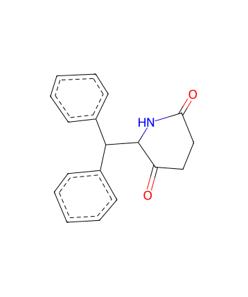 O=C1CCC(=O)C(C(c2ccccc2)c2ccccc2)N1